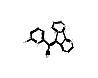 N#CC(=C1c2cccnc2-c2ncccc21)c1cccc(F)n1